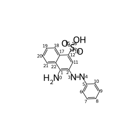 Nc1c(N=Nc2ccccc2)cc(S(=O)(=O)O)c2ccccc12